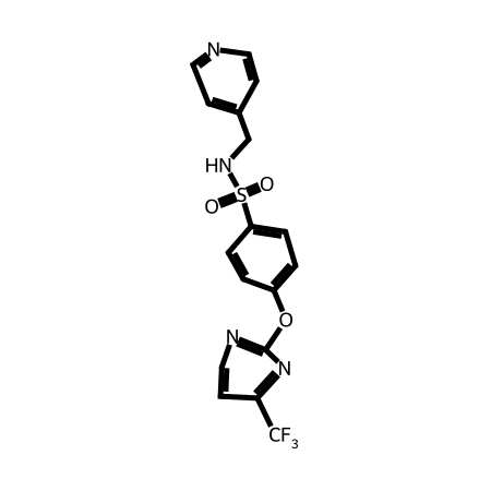 O=S(=O)(NCc1ccncc1)c1ccc(Oc2nccc(C(F)(F)F)n2)cc1